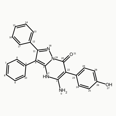 Nc1[nH]c2c(-c3ccccc3)c(-c3ccccc3)nn2c(=O)c1-c1ccc(O)cc1